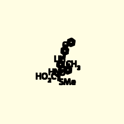 CSCC[C@H](NC(=O)c1ccc(CCc2ccc(Oc3ccccc3)cc2)cc1-c1ccccc1C)C(=O)O.[LiH]